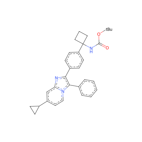 CC(C)(C)OC(=O)NC1(c2ccc(-c3nc4cc(C5CC5)ccn4c3-c3ccccc3)cc2)CCC1